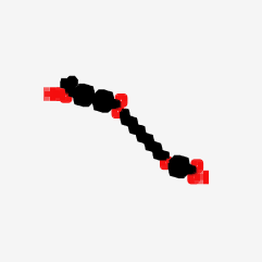 C=C(C)C(OO)c1ccc(-c2ccc(C(=O)OCCCCCCCCCCCOc3ccc(C(=O)O)cc3)cc2)cc1